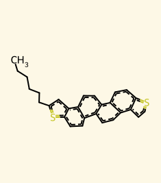 CCCCCCc1cc2c(ccc3c2ccc2c4ccc5sccc5c4ccc32)s1